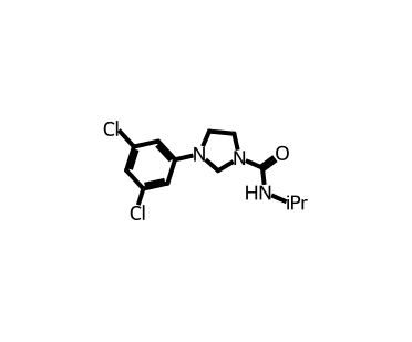 CC(C)NC(=O)N1CCN(c2cc(Cl)cc(Cl)c2)C1